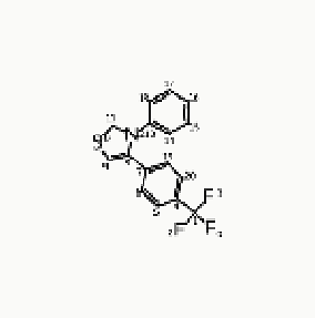 FC(F)(F)c1ccc(C2=CSCN2c2ccccc2)cc1